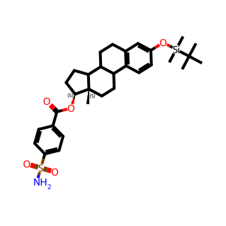 CC(C)(C)[Si](C)(C)Oc1ccc2c(c1)CCC1C2CC[C@@]2(C)C1CC[C@@H]2OC(=O)c1ccc(S(N)(=O)=O)cc1